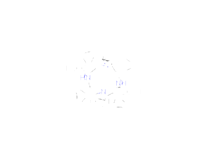 O=C(O)c1ccccc1-c1c2nc(c(-c3ccccc3C(=O)O)c3ccc([nH]3)c(C3C=CC=CC3C(=O)O)c3nc(c(-c4ccccc4C(=O)O)c4ccc1[nH]4)C=C3)C=C2